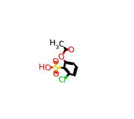 CC(=O)Oc1cccc(Cl)c1S(=O)(=O)O